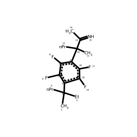 CCCC(C)(CC)c1c(F)c(F)c(C(C)(CCC)C(C)=N)c(F)c1F